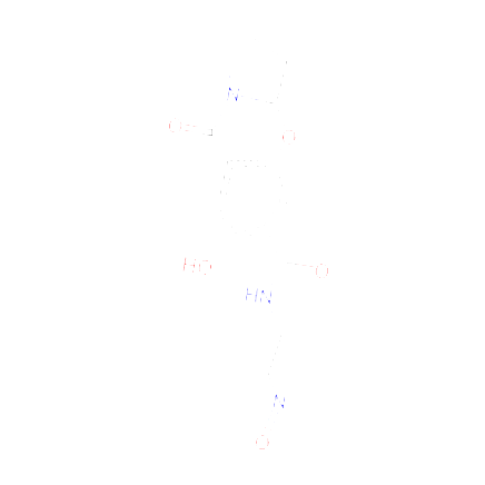 O=NCCNC(=O)c1cc2c(cc1O)C(=O)N1CCCC1O2